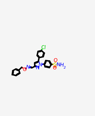 NS(=O)(=O)c1ccc(-n2nc(C=NOCc3ccccc3)cc2-c2ccc(Cl)cc2)cc1